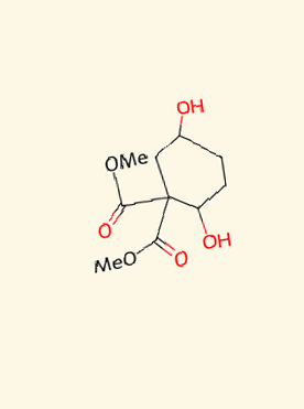 COC(=O)C1(C(=O)OC)CC(O)CCC1O